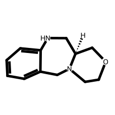 c1ccc2c(c1)CN1CCOC[C@@H]1CN2